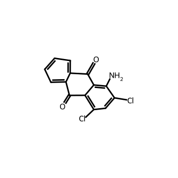 Nc1c(Cl)cc(Cl)c2c1C(=O)c1ccccc1C2=O